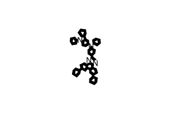 c1ccc(-c2ccc3c(c2)c2cc(-c4ccccc4)ccc2c2nc(-c4ccc(N(c5ccccc5)c5ccc6c(c5)c5ccccc5n6-c5ccccc5)cc4)cnc32)cc1